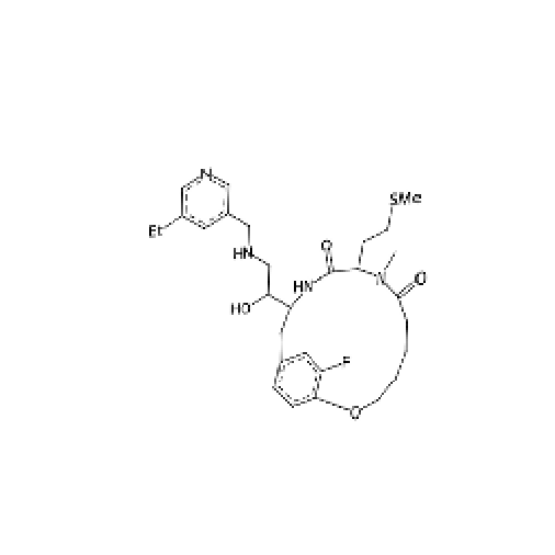 CCc1cncc(CNCC(O)C2Cc3ccc(c(F)c3)OCCCCC(=O)N(C)C(CCSC)C(=O)N2)c1